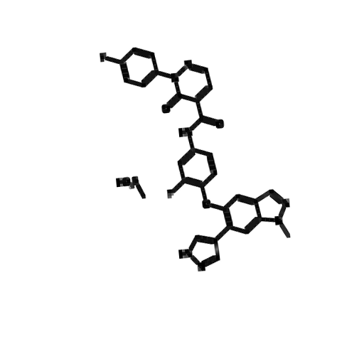 CS(=O)(=O)O.Cn1ncc2cc(Oc3ccc(NC(=O)c4ccnn(-c5ccc(F)cc5)c4=O)cc3F)c(-c3cn[nH]c3)cc21